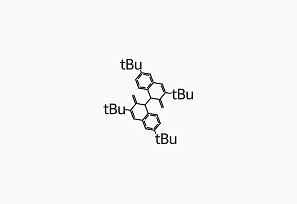 C=C1C(C(C)(C)C)=Cc2cc(C(C)(C)C)ccc2C1C1C(=C)C(C(C)(C)C)=Cc2cc(C(C)(C)C)ccc21